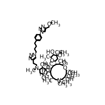 CC[C@H]1OC(=O)[C@H](C)C([C@H]2C[C@@](C)(OC)[C@@H](O)[C@H](C)O2)[C@H](C)[C@@H](O[C@@H]2O[C@H](C)C[C@H](N(C)CCc3cn(CCCCc4ccc(-n5cc(COC)nn5)cc4)nn3)[C@H]2O)[C@](C)(O)C[C@@H](C)CN(C)[C@H](C)[C@@H](O)[C@]1(C)O